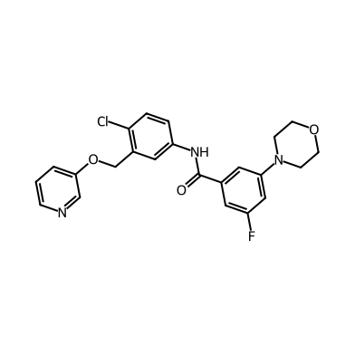 O=C(Nc1ccc(Cl)c(COc2cccnc2)c1)c1cc(F)cc(N2CCOCC2)c1